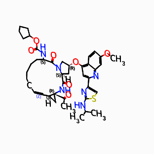 COc1ccc2c(O[C@@H]3C[C@H]4C(=O)N[C@]5(C(C)=O)C[C@H]5/C=C\CCCCC[C@H](NC(=O)OC5CCCC5)C(=O)N4C3)cc(-c3csc(NC(C)C)n3)nc2c1